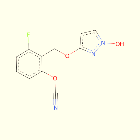 N#COc1cccc(F)c1COc1ccn(O)n1